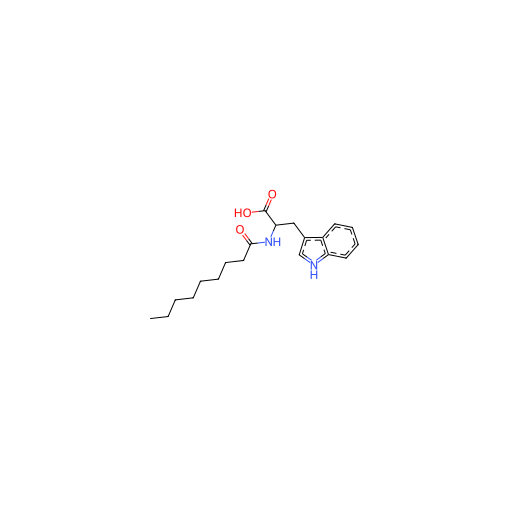 CCCCCCCCC(=O)NC(Cc1c[nH]c2ccccc12)C(=O)O